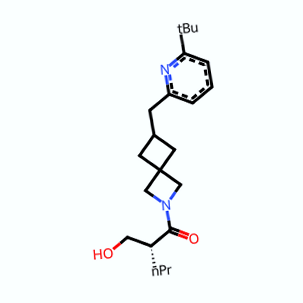 CCC[C@H](CO)C(=O)N1CC2(CC(Cc3cccc(C(C)(C)C)n3)C2)C1